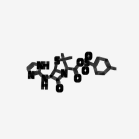 Cc1ccc(S(=O)(=O)OC(=O)C2N3C(=O)C(Nc4ncc[nH]4)C3SC2(C)C)cc1